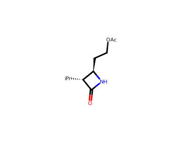 CC(=O)OCC[C@H]1NC(=O)[C@@H]1C(C)C